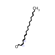 CCC=CCCCCCCCC=C/C=C/C=C\C=O